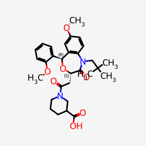 COc1ccc2c(c1)[C@H](c1ccccc1OC)O[C@@H](CC(=O)N1CCCC(C(=O)O)C1)C(=O)N2CC(C)(C)C